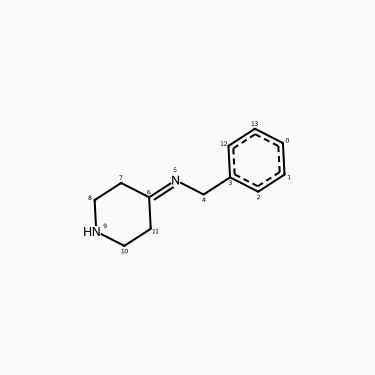 c1ccc(CN=C2CCNCC2)cc1